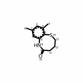 Cc1cc(C)c2c(c1)NC(=O)CCCS2